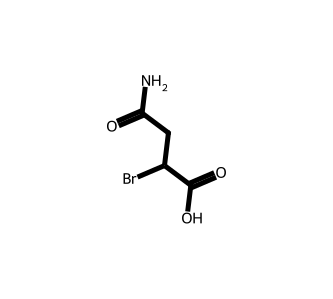 NC(=O)CC(Br)C(=O)O